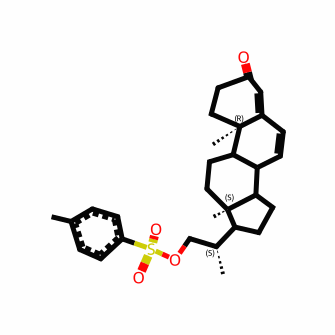 Cc1ccc(S(=O)(=O)OC[C@@H](C)C2CCC3C4C=CC5=CC(=O)CC[C@]5(C)C4CC[C@@]32C)cc1